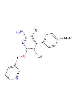 CC(=O)Nc1ccc(-c2c(C#N)c(N)nc(OCc3cccnc3)c2C#N)cc1